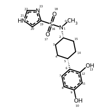 CN([C@H]1CC[C@@H](c2ccc(O)cc2O)CC1)S(=O)(=O)c1c[nH]cn1